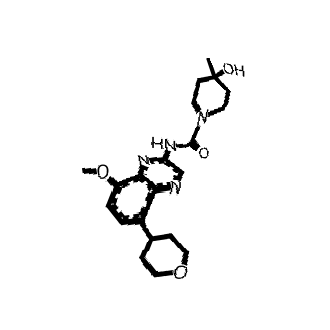 COc1ccc(C2CCOCC2)c2ncc(NC(=O)N3CCC(C)(O)CC3)nc12